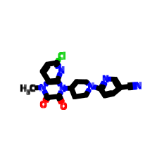 Cn1c(=O)c(=O)n(C2CCN(c3ccc(C#N)cn3)CC2)c2nc(Cl)ccc21